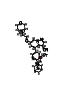 CC(C)OCCN1C2CC1CN(c1ccc(-c3cc(OCCN4C5CCC4COC5)cn4ncc(C#N)c34)cn1)C2